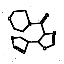 O=C(C1N=COC1C1C=CSC1)N1CCOCC1